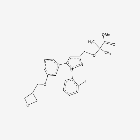 COC(=O)C(C)(C)OCc1cc(-c2cccc(OCC3COC3)c2)n(-c2ccccc2F)n1